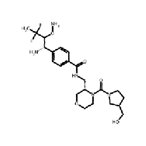 CC(F)(F)C(ON)[C@@H](N)c1ccc(C(=O)NC[C@H]2COCCN2C(=O)N2CCC(CO)C2)cc1